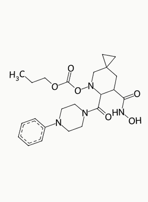 CCCOC(=O)ON1CC2(CC2)CC(C(=O)NO)C1C(=O)N1CCN(c2ccccc2)CC1